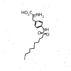 N[C@@H](Cc1ccc(NS(=O)(=O)CCCCCCCCI)cc1)C(=O)O